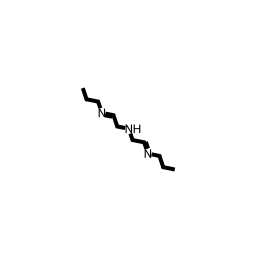 CCCN=CCNCC=NCCC